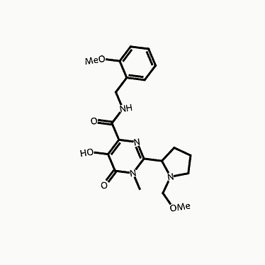 COCN1CCCC1c1nc(C(=O)NCc2ccccc2OC)c(O)c(=O)n1C